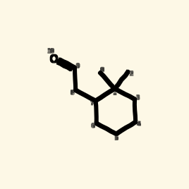 CC1(C)CCCCC1CC=O